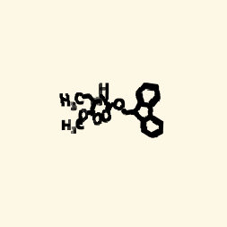 CC[C@@H](NC(=O)OCC1c2ccccc2-c2ccccc21)C(=O)OC